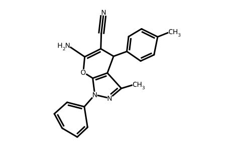 Cc1ccc(C2C(C#N)=C(N)Oc3c2c(C)nn3-c2ccccc2)cc1